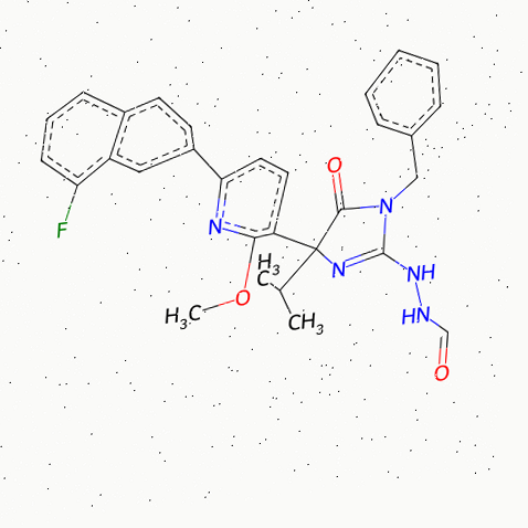 COc1nc(-c2ccc3cccc(F)c3c2)ccc1C1(C(C)C)N=C(NNC=O)N(Cc2ccccc2)C1=O